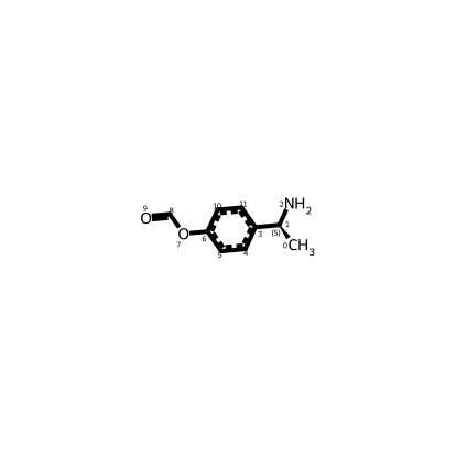 C[C@H](N)c1ccc(OC=O)cc1